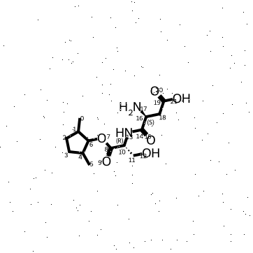 CC1CCC(C)C1OC(=O)[C@@H](CO)NC(=O)[C@@H](N)CC(=O)O